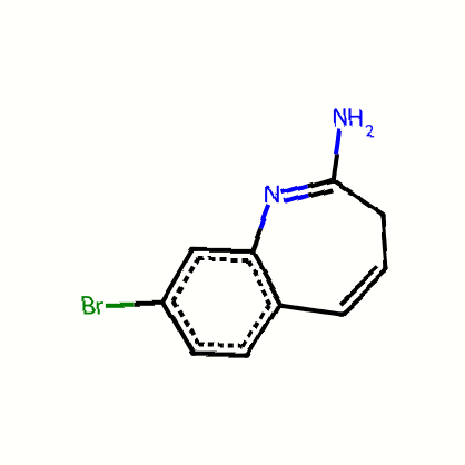 NC1=Nc2cc(Br)ccc2C=CC1